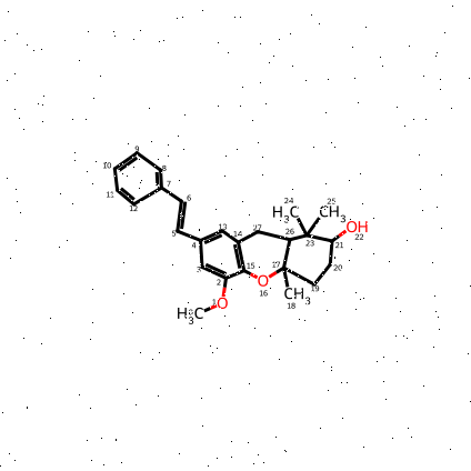 COc1cc(C=Cc2ccccc2)cc2c1OC1(C)CCC(O)C(C)(C)C1C2